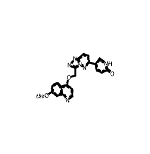 COc1ccc2c(OCc3nnc4ccc(-c5ccc(=O)[nH]c5)nn34)ccnc2c1